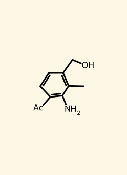 CC(=O)c1ccc(CO)c(C)c1N